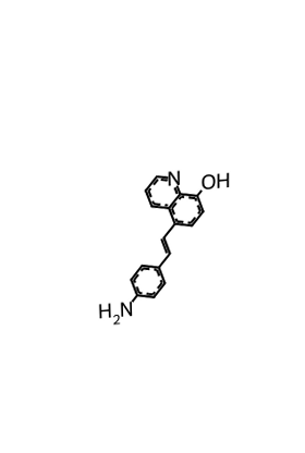 Nc1ccc(/C=C/c2ccc(O)c3ncccc23)cc1